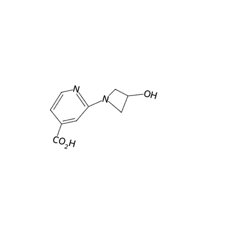 O=C(O)c1ccnc(N2CC(O)C2)c1